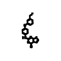 O=c1oc(Nc2ccc(Oc3cccc(CF)c3)cc2)nc2sccc12